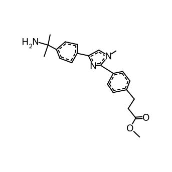 COC(=O)CCc1ccc(-c2nc(-c3ccc(C(C)(C)N)cc3)cn2C)cc1